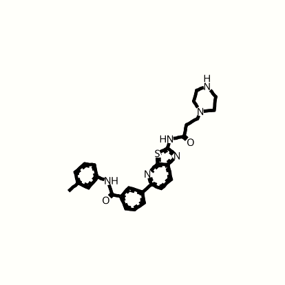 Cc1cccc(NC(=O)c2cccc(-c3ccc4nc(NC(=O)CCN5CCNCC5)sc4n3)c2)c1